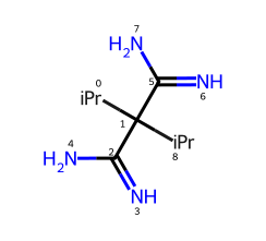 CC(C)C(C(=N)N)(C(=N)N)C(C)C